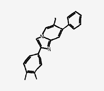 Cc1ccc(-c2cn3cc(C)c(-c4ccccc4)cc3n2)cc1C